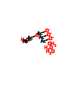 CC(=O)[O-].CC(=O)[O-].CC(=O)[O-].CC(=O)[O-].O.O.O.O.[Pb+4]